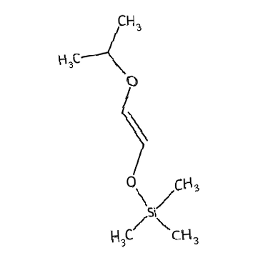 CC(C)OC=CO[Si](C)(C)C